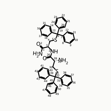 NC(=O)[C@@H](CSC(c1ccccc1)(c1ccccc1)c1ccccc1)NC(=O)[C@H](N)CSC(c1ccccc1)(c1ccccc1)c1ccccc1